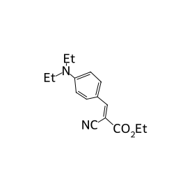 CCOC(=O)C(C#N)=Cc1ccc(N(CC)CC)cc1